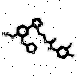 COc1ccc(-c2ccnn2CCOC(=O)Nc2ccc(F)c(F)c2)cc1OC1CCOC1